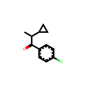 CC(C(=O)c1ccc(Cl)cc1)C1CC1